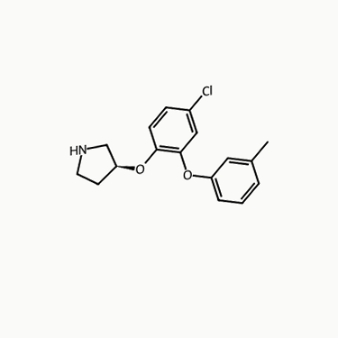 Cc1cccc(Oc2cc(Cl)ccc2O[C@H]2CCNC2)c1